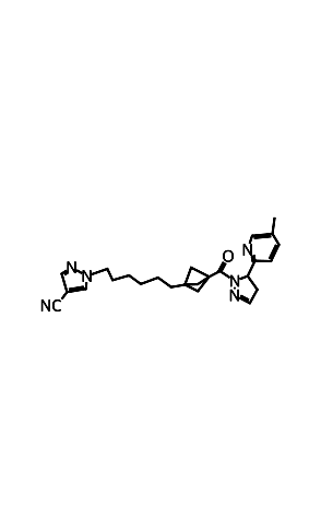 Cc1ccc(C2CC=NN2C(=O)C23CC(CCCCCCn4cc(C#N)cn4)(C2)C3)nc1